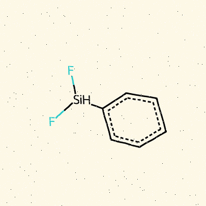 F[SiH](F)c1ccccc1